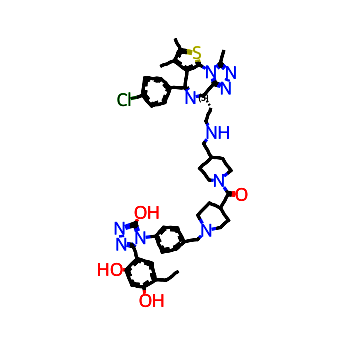 CCc1cc(-c2nnc(O)n2-c2ccc(CN3CCC(C(=O)N4CCC(CNCC[C@@H]5N=C(c6ccc(Cl)cc6)c6c(sc(C)c6C)-n6c(C)nnc65)CC4)CC3)cc2)c(O)cc1O